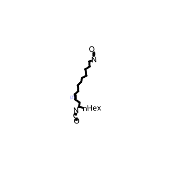 CCCCCCC(C/C=C\CCCCCCCCN=C=O)N=C=O